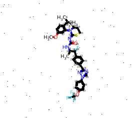 COc1ccc(C(C)C)c(N2/C(=N/C(=O)NC(C)C(F)c3ccc(-c4ncn(-c5ccc(OC(F)(F)F)cc5)n4)cc3)SCCC2C)c1